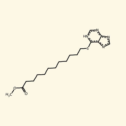 COC(=O)CCCCCCCCCCCSc1[nH]cnc2ncnc1-2